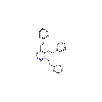 c1ccc(CCc2ccnc(CCc3ccccc3)c2CCc2ccccc2)cc1